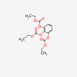 CCOC(=O)Oc1c[c]cc(OC(=O)OCC)c1OC(=O)OCC